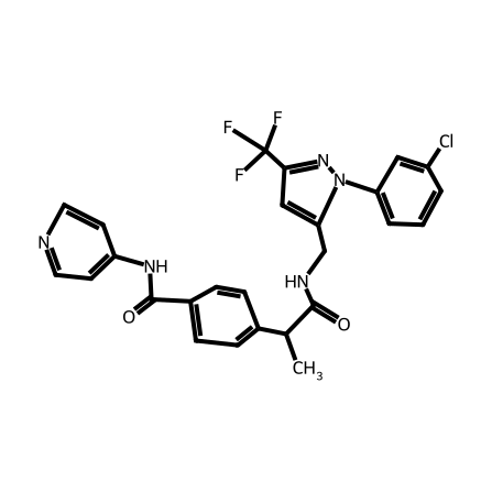 CC(C(=O)NCc1cc(C(F)(F)F)nn1-c1cccc(Cl)c1)c1ccc(C(=O)Nc2ccncc2)cc1